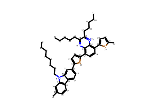 CCCCCCCCn1c2cc(C)ccc2c2ccc(-c3ccc(-c4ccc(-c5ccc(C)s5)c5nc(CCCCC)c(CCCCC)nc45)s3)cc21